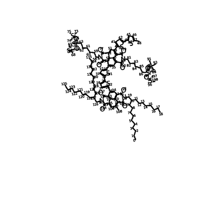 CCCCCCCCCCC(CCCCCCCC)CN1C(=O)c2cc(-c3ccc(-c4ccc(-c5cc6c7c(c(-c8ccc(-c9ccc(C)s9)s8)cc8c7c5C(=O)N(CCCCCC[Si](C)(O[Si](C)(C)C)O[Si](C)(C)C)C8=O)C(=O)N(CCCCCC[Si](C)(O[Si](C)(C)C)O[Si](C)(C)C)C6=O)s4)s3)c3c4c(cc(C)c(c24)C1=O)C(=O)N(CC(CCCCCCCC)CCCCCCCCCC)C3=O